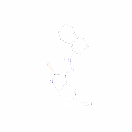 O=C1Nc2ccc(S(=O)(=O)O)cc2/C1=N/Nc1cccc2ccccc12